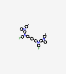 Cc1ccc(-n2c3ccccc3c3cc(N(c4ccc(F)cc4)c4ccc(-c5ccc(-c6ccc(N(c7ccc(F)cc7)c7ccc8c(c7)c7ccccc7n8-c7ccc(C)cc7)cc6)cc5)cc4)ccc32)cc1